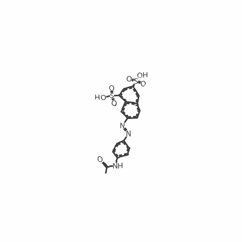 CC(=O)Nc1ccc(/N=N/c2ccc3cc(S(=O)(=O)O)cc(S(=O)(=O)O)c3c2)cc1